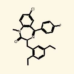 CCc1ccc(CC)c(CC2N=C(c3ccc(F)cc3)c3cc(Cl)ccc3N(C)C2=O)c1